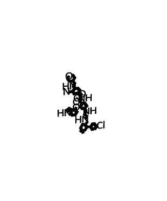 CC1(C)CCC(CNCCNc2ccc(C(=O)NS(=O)(=O)c3ccc(NCC4CCOCC4)c(C#N)c3)c(Oc3cccc4[nH]ccc34)c2)=C(c2ccc(Cl)cc2)C1